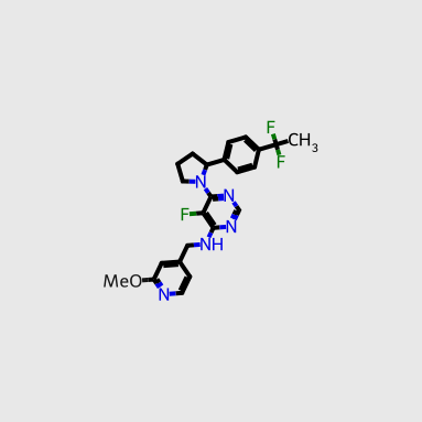 COc1cc(CNc2ncnc(N3CCCC3c3ccc(C(C)(F)F)cc3)c2F)ccn1